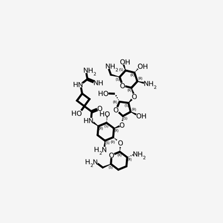 N=C(N)NC1CC(O)(C(=O)N[C@@H]2C[C@H](N)[C@@H](O[C@H]3O[C@H](CN)CC[C@H]3N)[C@H](O[C@@H]3O[C@H](CO)[C@@H](O[C@H]4O[C@@H](CN)[C@@H](O)[C@H](O)[C@H]4N)[C@H]3O)[C@H]2O)C1